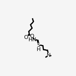 CCCCCC(=O)ONC=[SH]CCCN(C)C